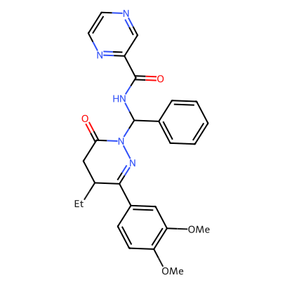 CCC1CC(=O)N(C(NC(=O)c2cnccn2)c2ccccc2)N=C1c1ccc(OC)c(OC)c1